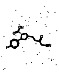 N#CCC(=O)CCC1C[C@@H](C(=O)O)[C@H](c2ccc(F)cc2)C1